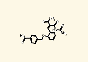 CC(=O)/C(=C/c1ccccc1OCc1ccc(C(=O)O)cc1)C(=O)NC(N)=O